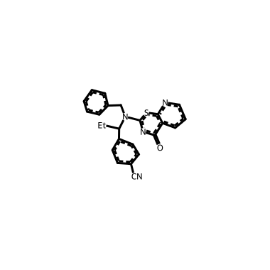 CCC(c1ccc(C#N)cc1)N(Cc1ccccc1)c1nc(=O)c2cccnc2s1